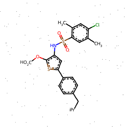 Cc1cc(S(=O)(=O)Nc2cc(-c3ccc(CC(C)C)cc3)sc2OC(=O)O)c(C)cc1Cl